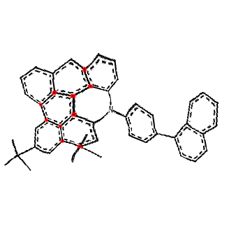 CC(C)(C)c1cc(-c2cccc3cccc(-c4ccccc4N(c4ccc(-c5cccc6ccccc56)cc4)c4ccccc4-c4ccccc4)c23)cc(C(C)(C)C)c1